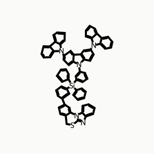 c1ccc([Si](c2ccccc2)(c2cccc(-c3ccc4c(c3)-n3c(nc5ccccc53)SC4)c2)c2cccc(-n3c4ccc(-n5c6ccccc6c6ccccc65)cc4c4cc(-n5c6ccccc6c6ccccc65)ccc43)c2)cc1